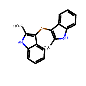 O=C(O)c1[nH]c2ccccc2c1Sc1c(C(=O)O)[nH]c2ccccc12